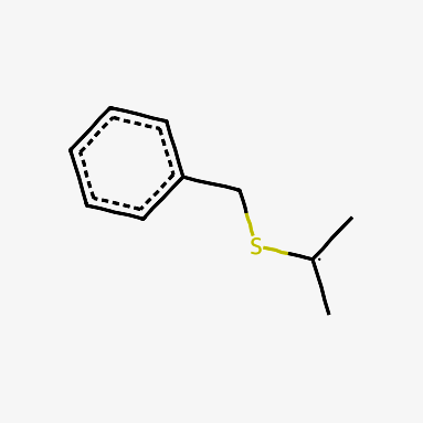 C[C](C)SCc1ccccc1